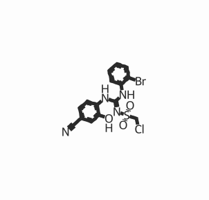 N#Cc1ccc(NC(=NS(=O)(=O)CCl)Nc2ccccc2Br)c(O)c1